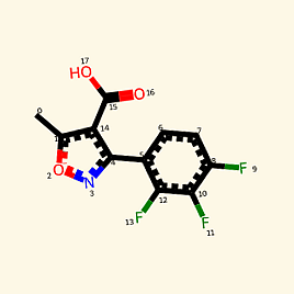 Cc1onc(-c2ccc(F)c(F)c2F)c1C(=O)O